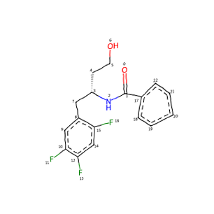 O=C(N[C@@H](CCO)Cc1cc(F)c(F)cc1F)c1ccccc1